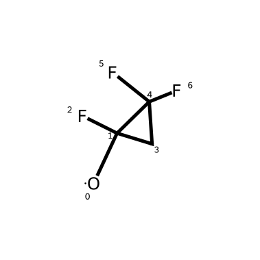 [O]C1(F)CC1(F)F